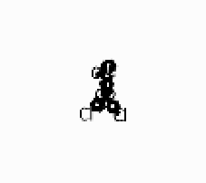 O=C(c1cc2c(cc1F)OC(c1ccc(Cl)cc1)(C1C=CC(Cl)=CC1)O2)N1CCCCC1